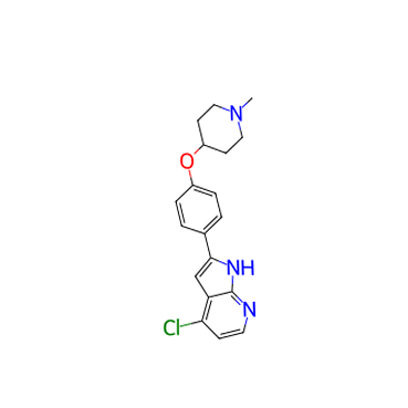 CN1CCC(Oc2ccc(-c3cc4c(Cl)ccnc4[nH]3)cc2)CC1